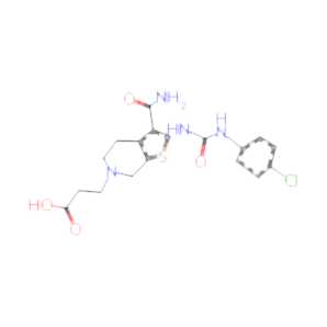 NC(=O)c1c(NC(=O)Nc2ccc(Cl)cc2)sc2c1CCN(CCC(=O)O)C2